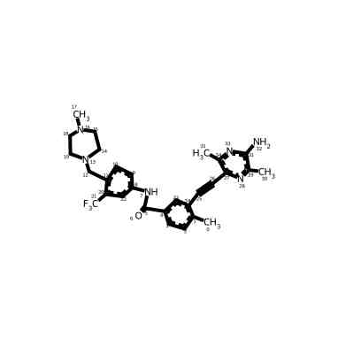 Cc1ccc(C(=O)Nc2ccc(CN3CCN(C)CC3)c(C(F)(F)F)c2)cc1C#Cc1nc(C)c(N)nc1C